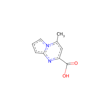 Cc1cc(C(=O)O)nc2cccn12